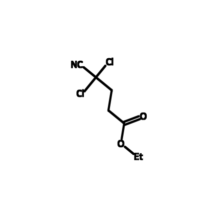 CCOC(=O)CCC(Cl)(Cl)C#N